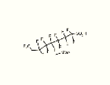 CNC.O=S(=O)(O)C(F)(F)C(F)(F)C(F)(F)C(F)(F)C(F)(F)C(F)(F)CC(F)(F)F